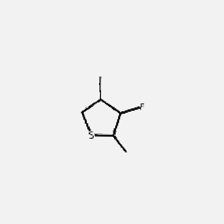 CC1CSC(C)C1F